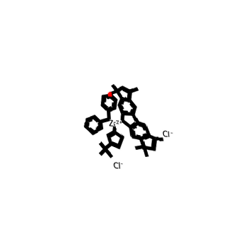 CC1=CC(C)(C)c2cc3c(cc21)-c1cc2c(cc1[CH]3[Zr+2]([C]1=CC(C(C)(C)C)=CC1)=[C](c1ccccc1)c1ccccc1)C(C)(C)C=C2C.[Cl-].[Cl-]